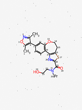 Cc1noc(C)c1-c1ccc2c(c1)OCCc1sc(C(=O)N(CCO)C(C)C)nc1-2